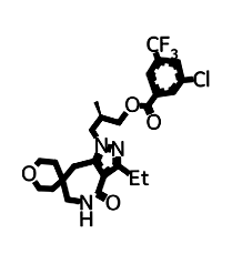 CCc1nn(C[C@@H](C)COC(=O)c2cc(Cl)cc(C(F)(F)F)c2)c2c1C(=O)NCC1(CCOCC1)C2